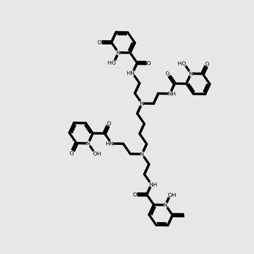 C=C1C=CC=C(C(=O)NCCN(CCCCN(CCNC(=O)c2cccc(=O)n2O)CCNC(=O)c2cccc(=O)n2O)CCNC(=O)c2cccc(=O)n2O)N1O